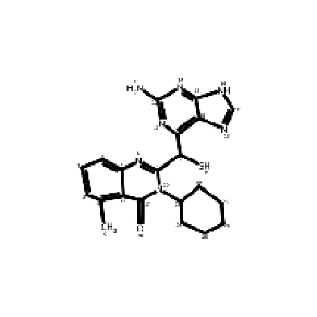 Cc1cccc2nc(C(S)c3nc(N)nc4[nH]cnc34)n(C3CCCCC3)c(=O)c12